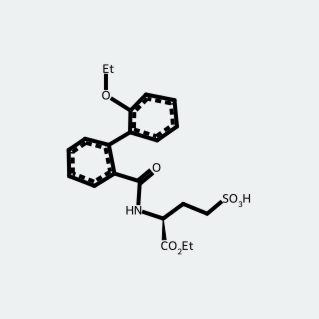 CCOC(=O)[C@H](CCS(=O)(=O)O)NC(=O)c1ccccc1-c1ccccc1OCC